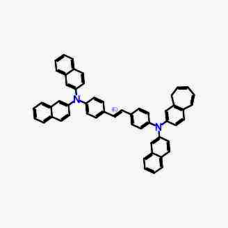 C1=CCc2cc(N(c3ccc(/C=C/c4ccc(N(c5ccc6ccccc6c5)c5ccc6ccccc6c5)cc4)cc3)c3ccc4ccccc4c3)ccc2C=C1